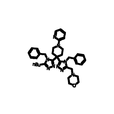 CCCCc1nnc(C2(c3nnc(CN4CCOCC4)n3Cc3ccccc3)CCN(c3ccccn3)CC2)n1Cc1ccccc1